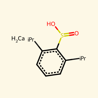 CC(C)c1cccc(C(C)C)c1S(=O)O.[CaH2]